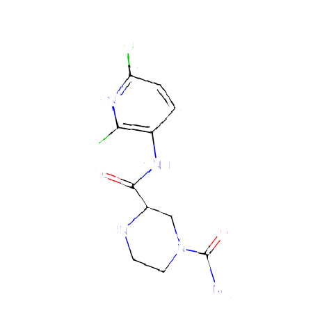 NC(=O)N1CCNC(C(=O)Nc2ccc(Cl)nc2Cl)C1